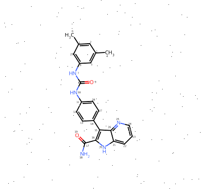 Cc1cc(C)cc(NC(=O)Nc2ccc(-c3c(C(N)=O)[nH]c4cccnc34)cc2)c1